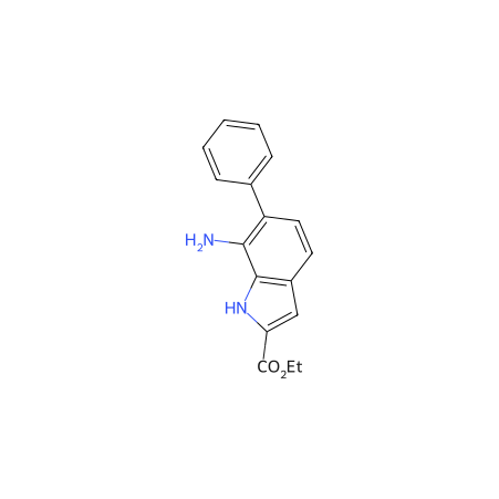 CCOC(=O)c1cc2ccc(-c3ccccc3)c(N)c2[nH]1